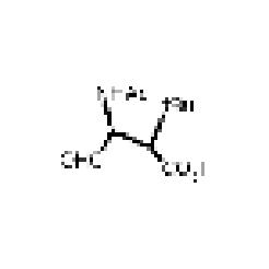 CC(=O)N[C@H]([C]=O)C(C(=O)O)C(C)(C)C